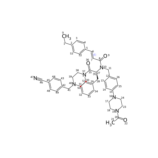 CCc1ccc(/C=C/C(=O)N(Cc2ccc(N3CCN(C(C)=O)CC3)cc2)[C@@H](Cc2ccccc2)C(=O)N2CCN(Cc3ccc(C#N)cc3)CC2)cc1